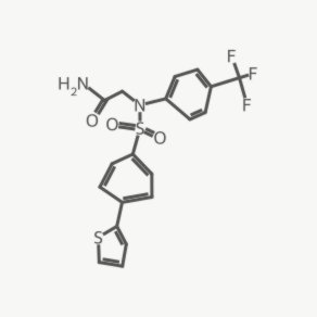 NC(=O)CN(c1ccc(C(F)(F)F)cc1)S(=O)(=O)c1ccc(-c2cccs2)cc1